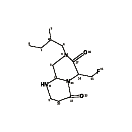 CCC(C)CN1CC2NCCC(=O)N2C(CF)C1=O